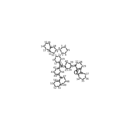 c1cc(-c2ccccc2-c2ccc3ccccc3c2)cc(N(c2ccc(-c3cccc4c3oc3ccccc34)cc2)c2cccc(-c3cccc4ccccc34)c2)c1